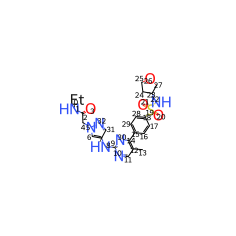 CCNC(=O)Cn1cc(Nc2ncc(C)c(-c3ccc(S(=O)(=O)NC4CCOC4)cc3)n2)cn1